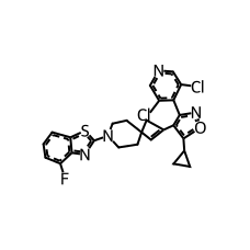 Fc1cccc2sc(N3CCC4(C=C(c5c(-c6c(Cl)cncc6Cl)noc5C5CC5)C4)CC3)nc12